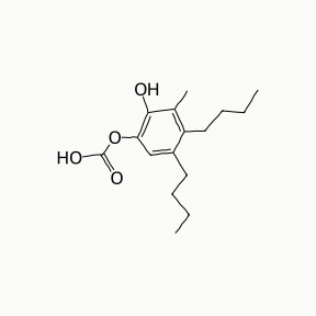 CCCCc1cc(OC(=O)O)c(O)c(C)c1CCCC